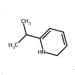 CC(C)C1=CC=CCN1